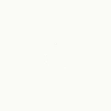 O=C(CCC(c1ccccc1)(c1ccccc1)c1ccccc1)OP